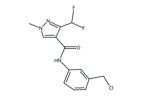 Cn1cc(C(=O)Nc2cccc(CCl)c2)c(C(F)F)n1